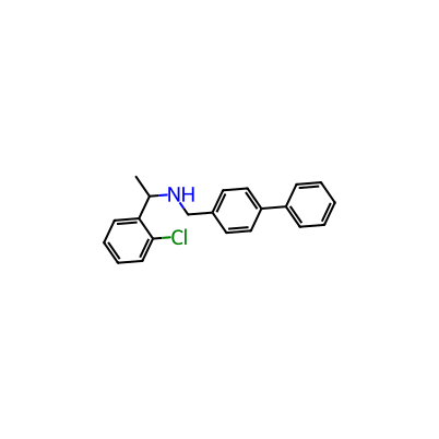 CC(NCc1ccc(-c2ccccc2)cc1)c1ccccc1Cl